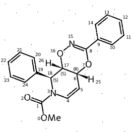 COC(=O)N1C=C[C@H]2OC(c3ccccc3)=NO[C@H]2[C@@H]1c1ccccc1